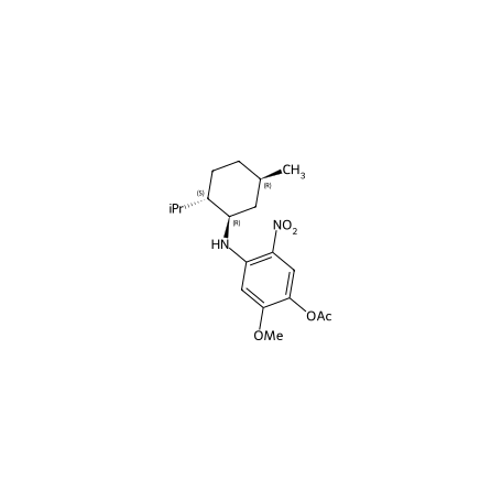 COc1cc(N[C@@H]2C[C@H](C)CC[C@H]2C(C)C)c([N+](=O)[O-])cc1OC(C)=O